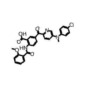 COc1ccccc1C(=O)Nc1ccc(C(=O)c2ccc(N(C)c3ccc(Cl)cc3)cn2)cc1C(=O)O